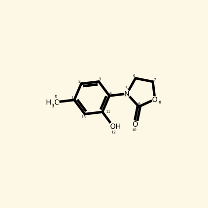 Cc1ccc(N2CCOC2=O)c(O)c1